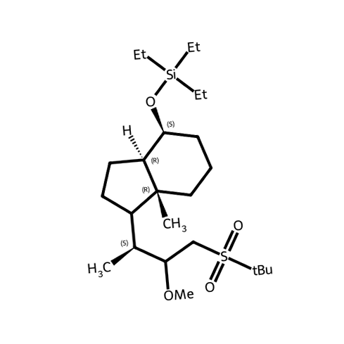 CC[Si](CC)(CC)O[C@H]1CCC[C@]2(C)C([C@H](C)C(CS(=O)(=O)C(C)(C)C)OC)CC[C@@H]12